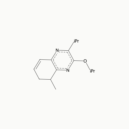 CC(C)Oc1nc2c(nc1C(C)C)C=CCC2C